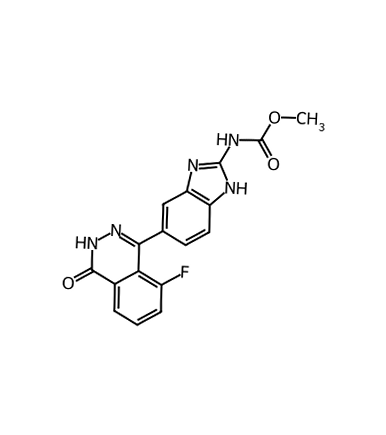 COC(=O)Nc1nc2cc(-c3n[nH]c(=O)c4cccc(F)c34)ccc2[nH]1